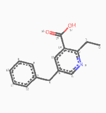 CCc1ncc(Cc2ccccc2)cc1C(=O)O